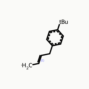 [CH2]/C=C/Cc1ccc(C(C)(C)C)cc1